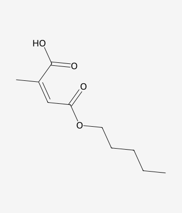 CCCCCOC(=O)/C=C(/C)C(=O)O